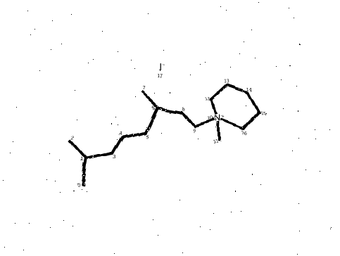 CC(C)CCCC(C)CC[N+]1(C)CCCCC1.[I-]